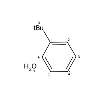 CC(C)(C)c1cc[c]cc1.O